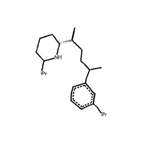 CC(C)c1cccc(C(C)CCC(C)[C@H]2CCCC(C(C)C)N2)c1